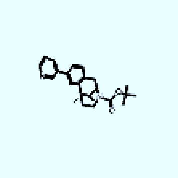 CC1C2Cc3ccc(-c4cccnc4)cc3[C@]1(C)CCN2C(=O)OC(C)(C)C